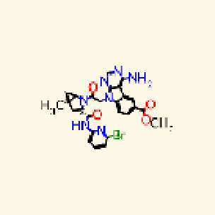 COC(=O)c1ccc2c(c1)c1c(N)ncnc1n2CC(=O)N1C2C[C@]2(C)C[C@H]1C(=O)Nc1cccc(Br)n1